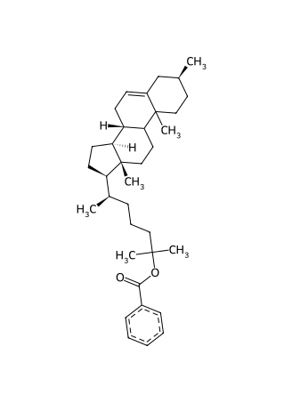 C[C@H]1CCC2(C)C(=CC[C@@H]3C2CC[C@]2(C)[C@@H]([C@H](C)CCCC(C)(C)OC(=O)c4ccccc4)CC[C@@H]32)C1